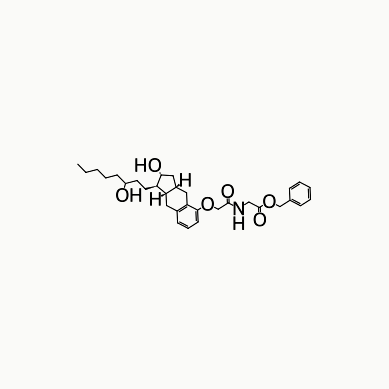 CCCCCC(O)CC[C@@H]1[C@H]2Cc3cccc(OCC(=O)NCC(=O)OCc4ccccc4)c3C[C@H]2C[C@H]1O